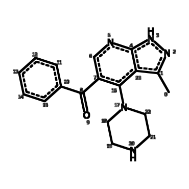 Cc1n[nH]c2ncc(C(=O)c3ccccc3)c(N3CCNCC3)c12